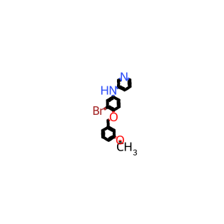 COc1cccc(COc2ccc(Nc3cccnc3)cc2Br)c1